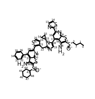 CCCC[S+]([O-])c1sc2nc(-c3nccs3)cc(-c3cnc(Cc4ccsc4-c4cc(-c5ccccc5)c5c(N)c([S+]([O-])C6CCCCC6)sc5n4)n3C3CC3)c2c1N